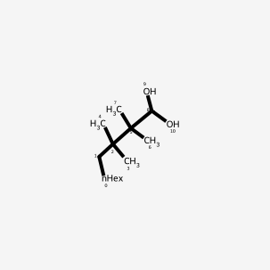 CCCCCCCC(C)(C)C(C)(C)[C](O)O